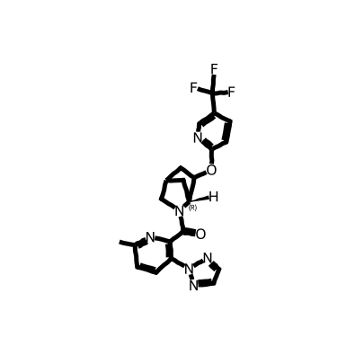 Cc1ccc(-n2nccn2)c(C(=O)N2CC3CC(Oc4ccc(C(F)(F)F)cn4)[C@H]2C3)n1